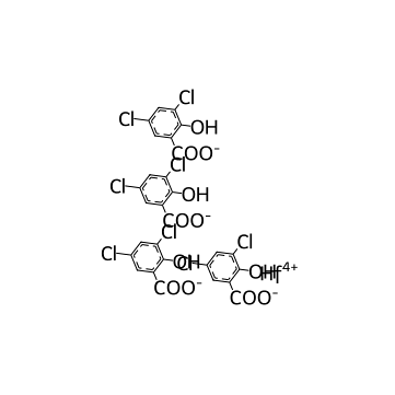 O=C([O-])c1cc(Cl)cc(Cl)c1O.O=C([O-])c1cc(Cl)cc(Cl)c1O.O=C([O-])c1cc(Cl)cc(Cl)c1O.O=C([O-])c1cc(Cl)cc(Cl)c1O.[Hf+4]